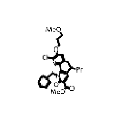 COCCCOc1cc2c(nc1Cl)-c1c(cc(C(=O)OC)c(=O)n1Cc1ccccc1)C(C(C)C)C2